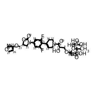 CC(OC(=O)OC[C@H](O)C(=O)N1CC=C(c2c(F)cc(N3C[C@H](COc4ccon4)OC3=O)cc2F)CC1)(P(=O)(O)O)[PH](O)(O)O